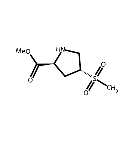 COC(=O)[C@@H]1C[C@@H](S(C)(=O)=O)CN1